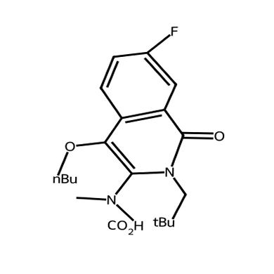 CCCCOc1c(N(C)C(=O)O)n(CC(C)(C)C)c(=O)c2cc(F)ccc12